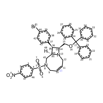 O=[N+]([O-])c1ccc(S(=O)(=O)N2C/C=C\CN3[C@H](COC(c4ccccc4)(c4ccccc4)c4ccccc4)[C@H](c4ccc(Br)cc4)[C@@H]3C2)cc1